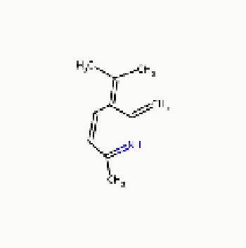 C=CC(/C=C\C(C)=N)=C(C)C